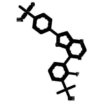 CC(C)(O)c1cccc(-c2ncnc3cc(-c4ccc(S(C)(=N)=O)cc4)oc23)c1F